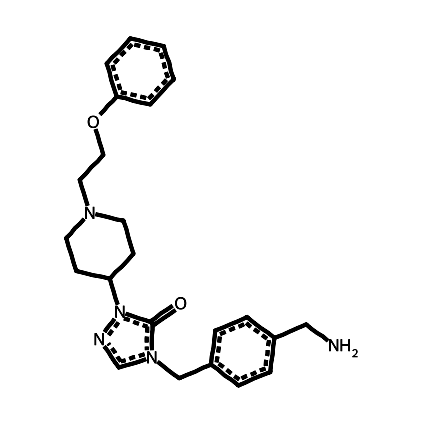 NCc1ccc(Cn2cnn(C3CCN(CCOc4ccccc4)CC3)c2=O)cc1